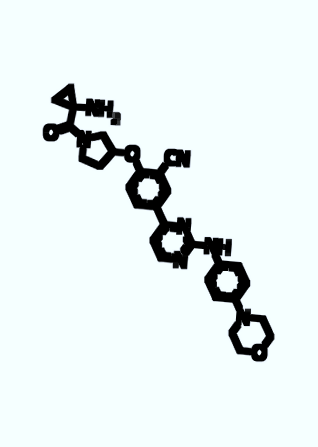 N#Cc1cc(-c2ccnc(Nc3ccc(N4CCOCC4)cc3)n2)ccc1OC1CCN(C(=O)C2(N)CC2)C1